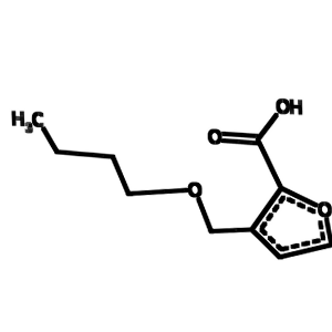 CCCCOCc1ccoc1C(=O)O